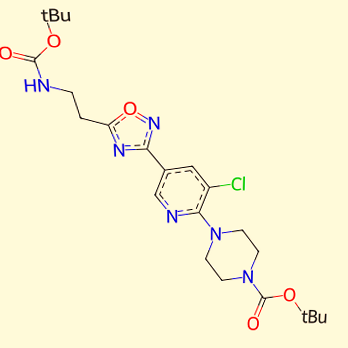 CC(C)(C)OC(=O)NCCc1nc(-c2cnc(N3CCN(C(=O)OC(C)(C)C)CC3)c(Cl)c2)no1